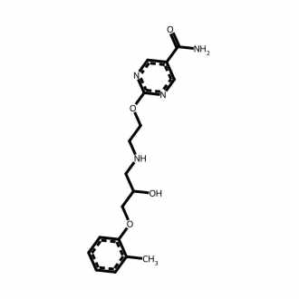 Cc1ccccc1OCC(O)CNCCOc1ncc(C(N)=O)cn1